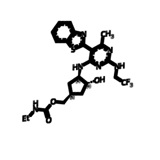 CCNC(=O)OC[C@@H]1C[C@@H](O)[C@H](Nc2nc(NCC(F)(F)F)nc(C)c2-c2nc3ccccc3s2)C1